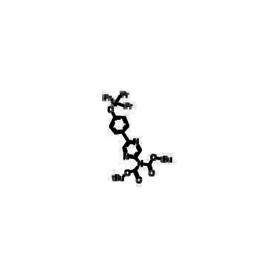 CC(C)[Si](Oc1ccc(-c2cnc(N(C(=O)OC(C)(C)C)C(=O)OC(C)(C)C)cn2)cc1)(C(C)C)C(C)C